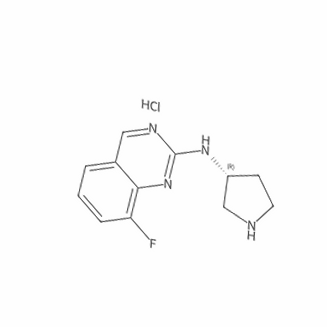 Cl.Fc1cccc2cnc(N[C@@H]3CCNC3)nc12